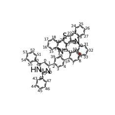 C1=C(c2ccc(-c3ccccc3-c3nc4ccccc4c4sc5c6ccccc6n(-c6ccccc6)c5c34)cc2)N=C(c2ccccc2)NC1c1ccccc1